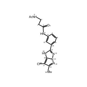 CC(=O)NCCC(=O)Nc1cccc(-c2nn3nc(C(C)(C)C)c(Cl)c3[nH]2)c1